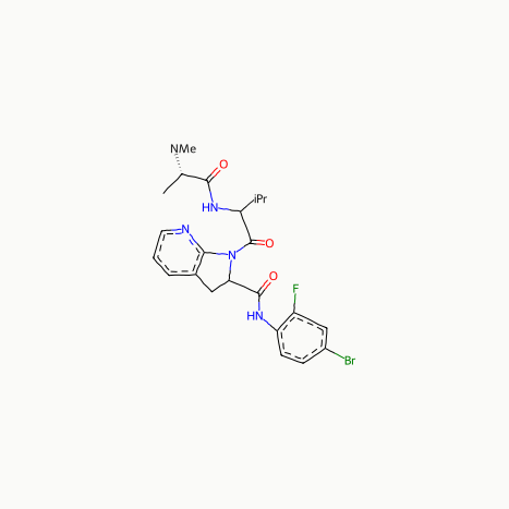 CN[C@@H](C)C(=O)NC(C(=O)N1c2ncccc2CC1C(=O)Nc1ccc(Br)cc1F)C(C)C